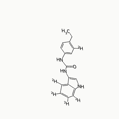 [2H]c1cc(NC(=O)Nc2c[nH]c3c([2H])c([2H])c([2H])c([2H])c23)ccc1CC